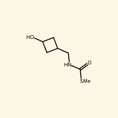 CSC(=O)NCC1CC(O)C1